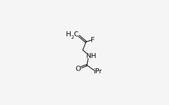 C=C(F)CNC(=O)C(C)C